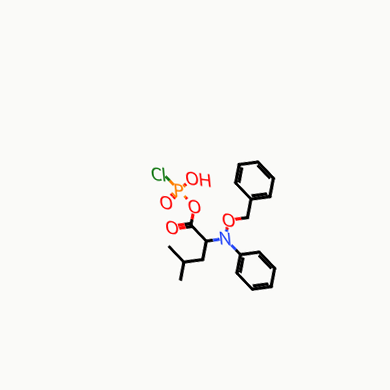 CC(C)CC(C(=O)OP(=O)(O)Cl)N(OCc1ccccc1)c1ccccc1